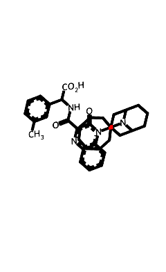 Cc1cccc(C(NC(=O)c2nc3ccccc3n(C3CC4CCCC(C3)N4C3CCCCCCC3)c2=O)C(=O)O)c1